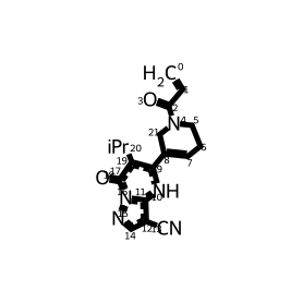 C=CC(=O)N1CCC=C(c2[nH]c3c(C#N)cnn3c(=O)c2C(C)C)C1